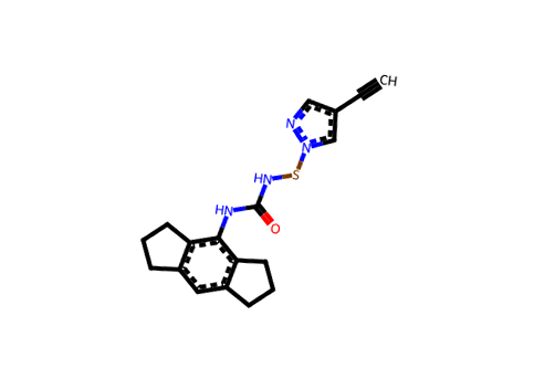 C#Cc1cnn(SNC(=O)Nc2c3c(cc4c2CCC4)CCC3)c1